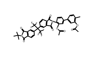 CC(=O)Oc1cc(-c2ccc(N3C(=O)c4ccc(C(c5ccc6c(c5)C(=O)N(C(C)(C)C)C6=O)(C(F)(F)F)C(F)(F)F)cc4C3=O)c(OC(C)=O)c2)ccc1C